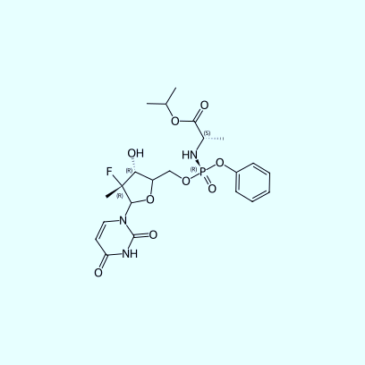 CC(C)OC(=O)[C@H](C)N[P@@](=O)(OCC1OC(n2ccc(=O)[nH]c2=O)[C@](C)(F)[C@@H]1O)Oc1ccccc1